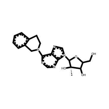 C[C@@]1(O)C(O)C(CO)OC1n1cnc2c(N3CCc4ccccc4C3)ncnc21